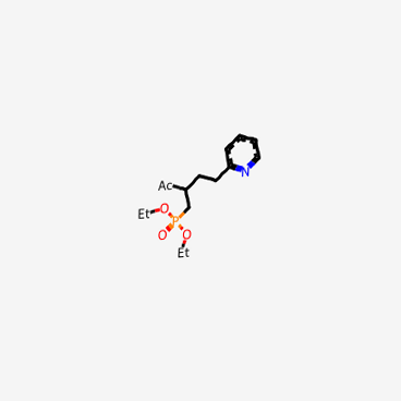 CCOP(=O)(CC(CCc1ccccn1)C(C)=O)OCC